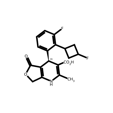 CC1=C(C(=O)O)[C@H](c2cccc(F)c2C2CC(F)C2)C2=C(COC2=O)N1